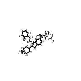 CC(C)Nc1ccc2c(c1)N(CCc1ccccc1F)C(C1CCNCC1)C2